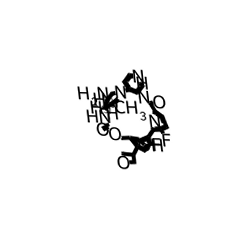 C[C@H]1CN2C[C@@H](N)[C@H]1NC(=O)OCc1c(C3COC3)cc(F)c(c1O)-c1nc(ccc1F)C(=O)Nc1cnccc12